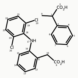 CC(C(=O)O)c1ccccc1.O=C(O)Cc1ccccc1Nc1c(Cl)cccc1Cl